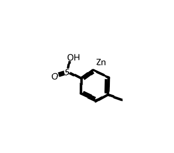 Cc1ccc(S(=O)O)cc1.[Zn]